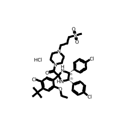 CCOc1cc(C(C)(C)C)c(Cl)cc1C1(C(=O)N2CCN(CCCS(C)(=O)=O)CC2)N[C@H](c2ccc(Cl)cc2)[C@H](c2ccc(Cl)cc2)N1.Cl